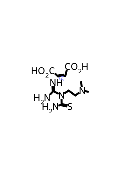 CN(C)CCN(C(=N)N)C(N)=S.O=C(O)/C=C\C(=O)O